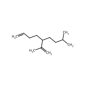 [CH2]C(C)CCC(CCC=C)C(=C)C